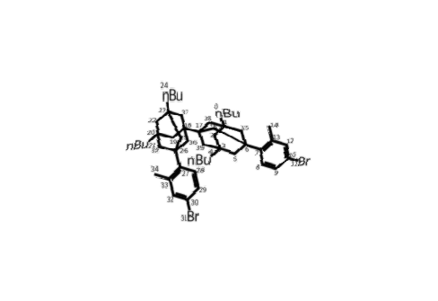 CCCCC12CC3(CCCC)CC(c4ccc(Br)cc4C)(C1)CC(C14CC5(CCCC)CC(CCCC)(CC(c6ccc(Br)cc6C)(C5)C1)C4)(C2)C3